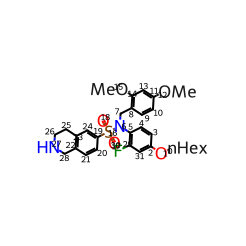 CCCCCCOc1ccc(N(Cc2ccc(OC)cc2OC)S(=O)(=O)c2ccc3c(c2)CCNC3)c(F)c1